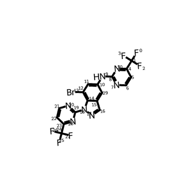 FC(F)(F)c1ccnc(Nc2cc(Br)c3c(cnn3-c3nccc(C(F)(F)F)n3)c2)n1